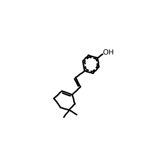 CC1(C)CCC=C(/C=C/c2ccc(O)cc2)C1